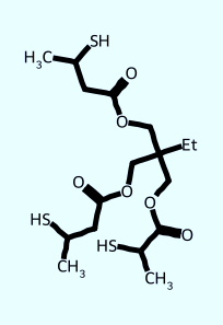 CCC(COC(=O)CC(C)S)(COC(=O)CC(C)S)COC(=O)C(C)S